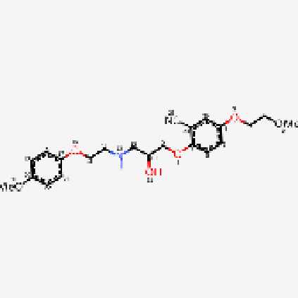 COCCOc1ccc(OCC(O)CNCCOc2ccc(OC)cc2)c(C#N)c1